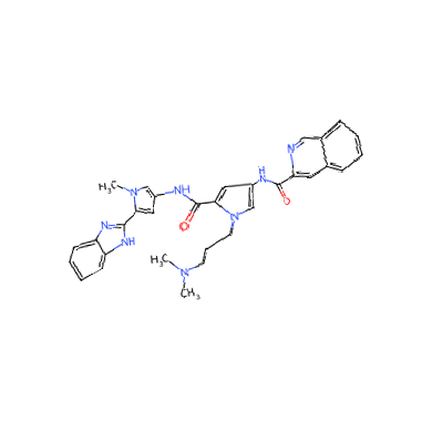 CN(C)CCCn1cc(NC(=O)c2cc3ccccc3cn2)cc1C(=O)Nc1cc(-c2nc3ccccc3[nH]2)n(C)c1